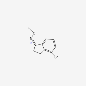 CO/N=C1/CCc2c(Br)cccc21